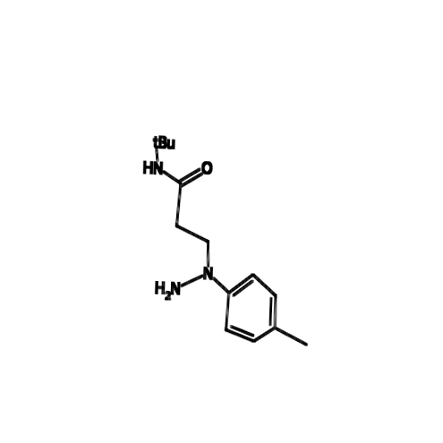 Cc1ccc(N(N)CCC(=O)NC(C)(C)C)cc1